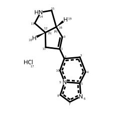 C1=C(c2ccc3nccn3c2)C[C@@H]2CNC[C@H]12.Cl